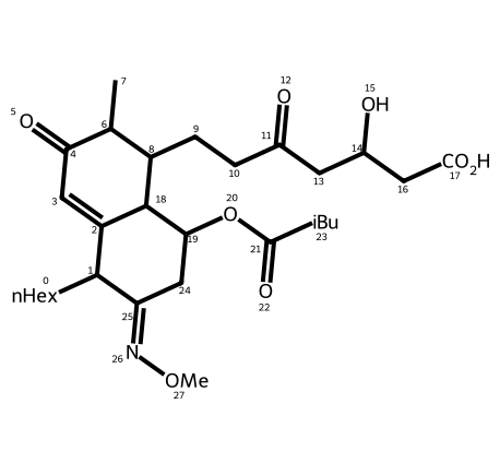 CCCCCCC1C2=CC(=O)C(C)C(CCC(=O)CC(O)CC(=O)O)C2C(OC(=O)C(C)CC)CC1=NOC